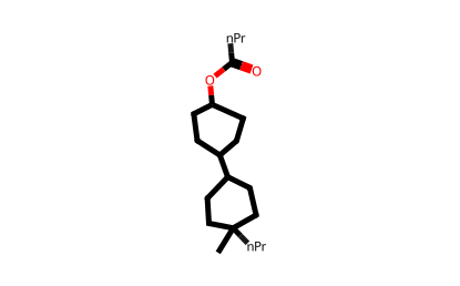 CCCC(=O)OC1CCC(C2CCC(C)(CCC)CC2)CC1